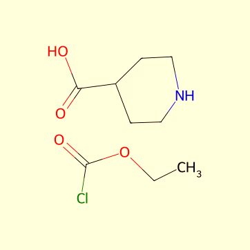 CCOC(=O)Cl.O=C(O)C1CCNCC1